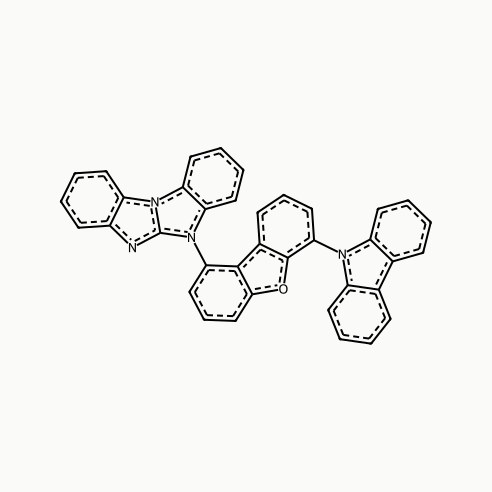 c1ccc2c(c1)nc1n(-c3cccc4oc5c(-n6c7ccccc7c7ccccc76)cccc5c34)c3ccccc3n21